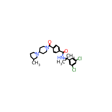 CC1CCCN(C2CCN(C(=O)c3ccc(C(=O)NC(C)(C)c4cc(Cl)cc(Cl)c4)cc3)CC2)C1